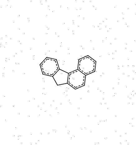 [c]1cccc2ccc3c(c12)-c1ccccc1C3